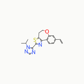 C=Cc1ccc2c(c1)OCCc1sc(-c3ncnn3C(C)C)nc1-2